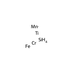 [Cr].[Fe].[Mn].[SiH4].[Ti]